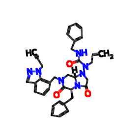 C#CCn1ncc2cccc(CN3C[C@H]4N(C(=O)CN4N(CC=C)C(=O)NCc4ccccc4)[C@@H](Cc4ccccc4)C3=O)c21